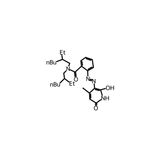 CCCCC(CC)CN(CC(CC)CCCC)C(=O)c1ccccc1/N=N/c1c(C)cc(=O)[nH]c1O